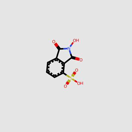 O=C1c2cccc(S(=O)(=O)O)c2C(=O)N1O